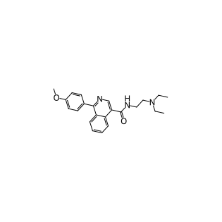 CCN(CC)CCNC(=O)c1cnc(-c2ccc(OC)cc2)c2ccccc12